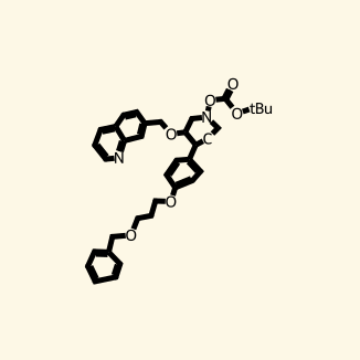 CC(C)(C)OC(=O)ON1CCC(c2ccc(OCCCOCc3ccccc3)cc2)C(OCc2ccc3cccnc3c2)C1